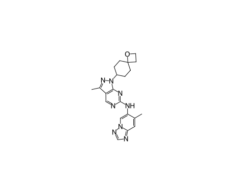 Cc1cc2ncnn2cc1Nc1ncc2c(C)nn(C3CCC4(CCO4)CC3)c2n1